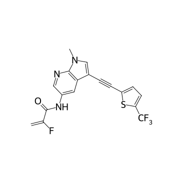 C=C(F)C(=O)Nc1cnc2c(c1)c(C#Cc1ccc(C(F)(F)F)s1)cn2C